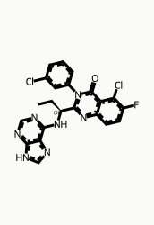 CC[C@H](Nc1ncnc2[nH]cnc12)c1nc2ccc(F)c(Cl)c2c(=O)n1-c1cccc(Cl)c1